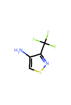 Nc1csnc1C(F)(F)F